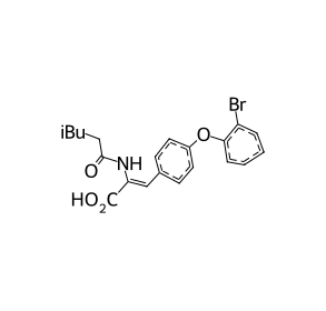 CCC(C)CC(=O)NC(=Cc1ccc(Oc2ccccc2Br)cc1)C(=O)O